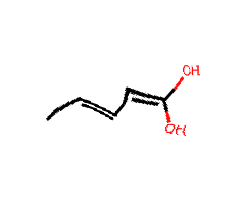 CC=CC=C(O)O